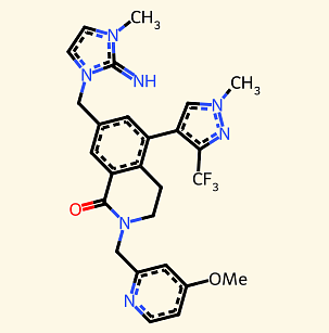 COc1ccnc(CN2CCc3c(cc(Cn4ccn(C)c4=N)cc3-c3cn(C)nc3C(F)(F)F)C2=O)c1